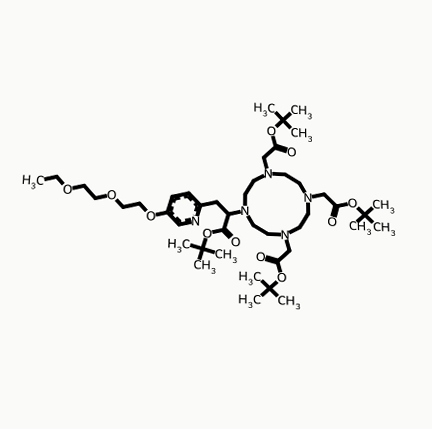 CCOCCOCCOc1ccc(CC(C(=O)OC(C)(C)C)N2CCN(CC(=O)OC(C)(C)C)CCN(CC(=O)OC(C)(C)C)CCN(CC(=O)OC(C)(C)C)CC2)nc1